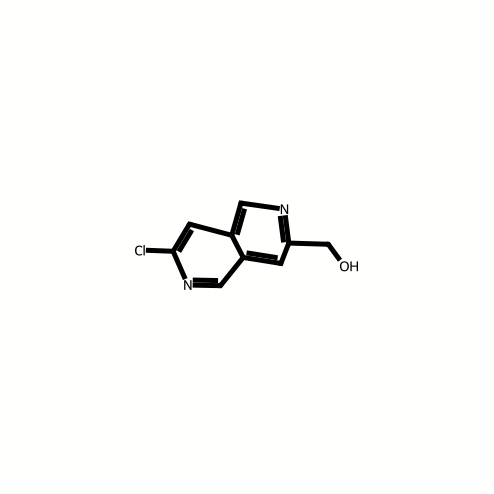 OCc1cc2cnc(Cl)cc2cn1